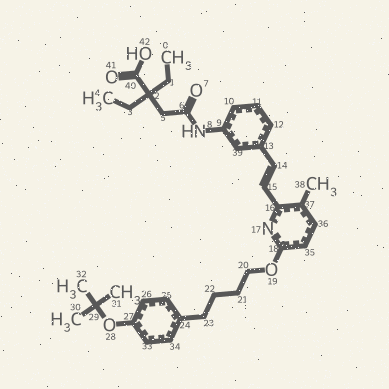 CCC(CC)(CC(=O)Nc1cccc(C=Cc2nc(OCCCCc3ccc(OC(C)(C)C)cc3)ccc2C)c1)C(=O)O